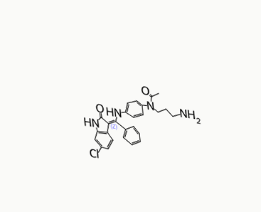 CC(=O)N(CCCN)c1ccc(N/C(=C2\C(=O)Nc3cc(Cl)ccc32)c2ccccc2)cc1